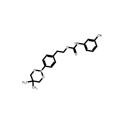 CC1(C)COB(c2ccc(CCOC(=O)Nc3cccc(C#N)c3)cc2)OC1